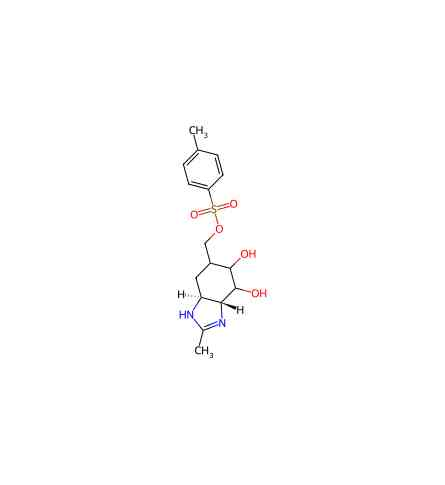 CC1=N[C@H]2C(O)C(O)C(COS(=O)(=O)c3ccc(C)cc3)C[C@@H]2N1